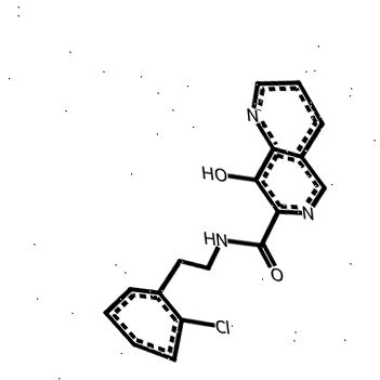 O=C(NCCc1ccccc1Cl)c1ncc2cccnc2c1O